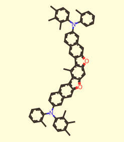 Cc1ccccc1N(c1ccc2cc3c(cc2c1)oc1cc2oc4cc5cc(N(c6ccccc6C)c6ccc(C)c(C)c6C)ccc5cc4c2c(C)c13)c1ccc(C)c(C)c1C